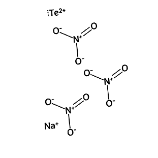 O=[N+]([O-])[O-].O=[N+]([O-])[O-].O=[N+]([O-])[O-].[Na+].[Te+2]